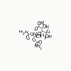 CC(OC(N)=O)OC(N)=O.O=C(O)C(O)C(O)C(=O)O